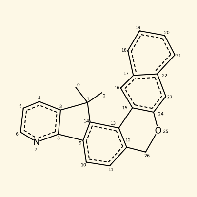 CC1(C)c2cccnc2-c2ccc3c(c21)-c1cc2ccccc2cc1OC3